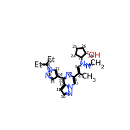 C=NN(/C=C(\C)c1cn2nccc2c(-c2cnn(C(CC)CC)c2)n1)[C@H]1CCC[C@@H]1O